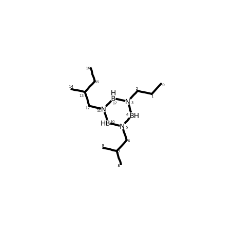 CCCN1BN(CC(C)C)BN(CC(C)CC)B1